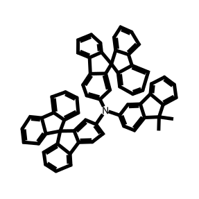 CC1(C)c2ccccc2-c2cc(N(c3ccc4c(c3)C3(c5ccccc5-c5ccccc53)c3ccccc3-4)c3ccc4c(c3)C3(c5ccccc5-c5ccccc53)c3ccccc3-4)ccc21